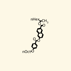 CCCCCCCCOc1ccc(C(=O)Oc2ccc3cc(C(=O)OC(C)CCCCCC)ccc3c2)cc1